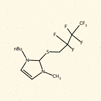 CCCCN1C=CN(C)C1SCC(F)(F)C(F)(F)C(F)(F)F